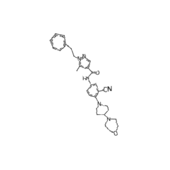 Cc1c(C(=O)Nc2ccc(N3CCC(N4CCOCC4)CC3)c(C#N)c2)cnn1CCc1ccccc1